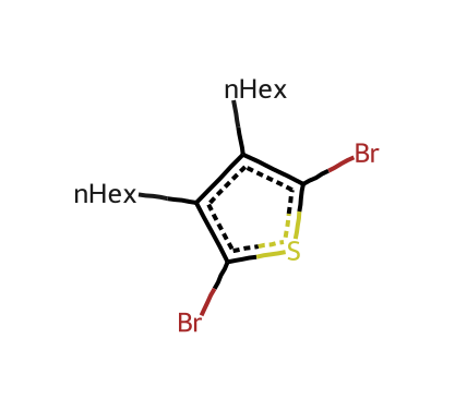 CCCCCCc1c(Br)sc(Br)c1CCCCCC